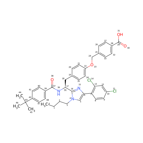 CCCCn1cc(-c2ccc(Cl)cc2Cl)nc1[C@H](Cc1ccc(OCc2ccc(C(=O)O)cc2)cc1)NC(=O)c1ccc(C(C)(C)C)cc1